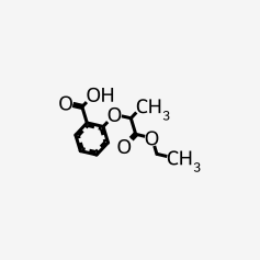 CCOC(=O)C(C)Oc1ccccc1C(=O)O